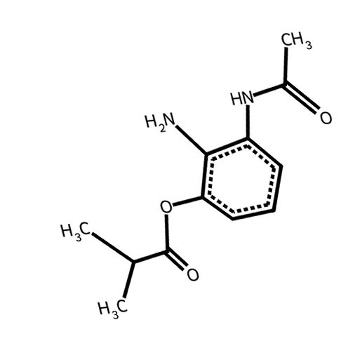 CC(=O)Nc1cccc(OC(=O)C(C)C)c1N